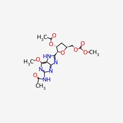 COC(=O)OC[C@@H]1C[C@@H](OC(C)=O)[C@H](c2nc3nc(NC(C)=O)nc(OC)c3[nH]2)O1